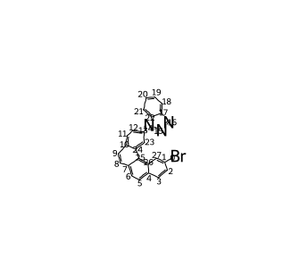 Brc1ccc2ccc3ccc4ccc(-n5nnc6ccccc65)cc4c3c2c1